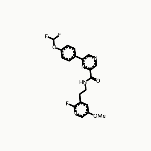 COc1cnc(F)c(CCNC(=O)c2cncc(-c3ccc(OC(F)F)cc3)n2)c1